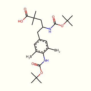 Bc1cc(CC(CC(C)(C)C(=O)O)NC(=O)OC(C)(C)C)cc(B)c1NC(=O)OC(C)(C)C